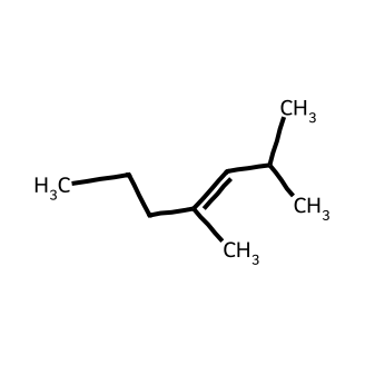 CCCC(C)=CC(C)C